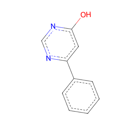 Oc1cc(-c2ccccc2)ncn1